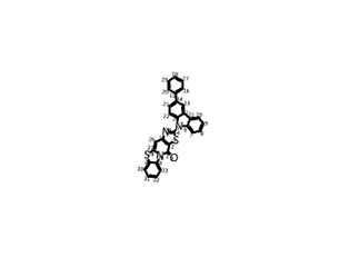 O=c1c2sc(-n3c4ccccc4c4cc(-c5ccccc5)ccc43)nc2cc2sc3ccccc3n12